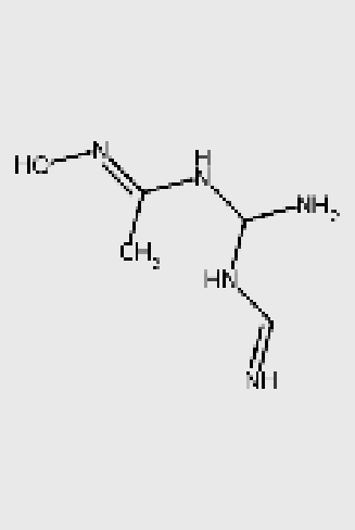 C/C(=N\O)NC(N)NC=N